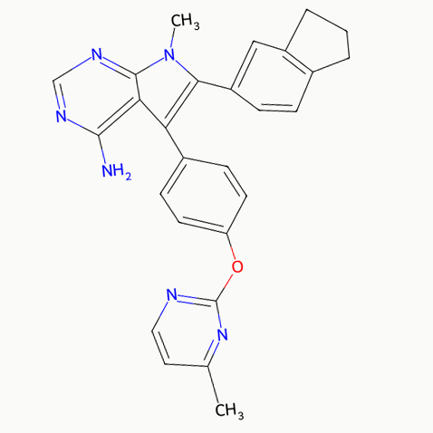 Cc1ccnc(Oc2ccc(-c3c(-c4ccc5c(c4)CCC5)n(C)c4ncnc(N)c34)cc2)n1